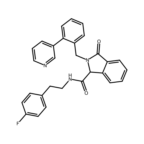 O=C(NCCc1ccc(F)cc1)C1c2ccccc2C(=O)N1Cc1ccccc1-c1cccnc1